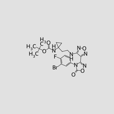 CC(C)(C)OC(=O)NC1(CCNc2nonc2-c2noc(=O)n2-c2ccc(F)c(Br)c2)CC1